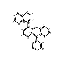 c1ccc(-c2c3ccccc3cc3c(-c4cccc5ccccc45)cccc23)cc1